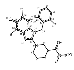 CCCN(C)C(=O)C1CCCN(c2nc3c(c(=O)n(C)c(=O)n3C)n2Cc2c(C)cccc2F)C1